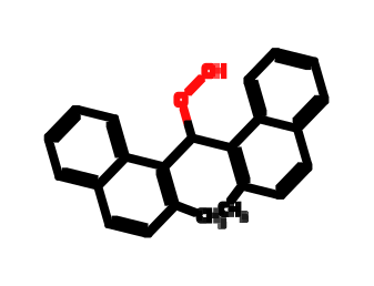 Cc1ccc2ccccc2c1C(OO)c1c(C)ccc2ccccc12